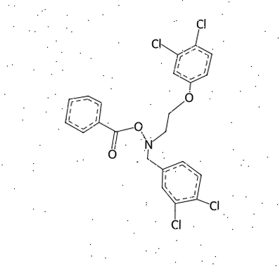 O=C(ON(CCOc1ccc(Cl)c(Cl)c1)Cc1ccc(Cl)c(Cl)c1)c1ccccc1